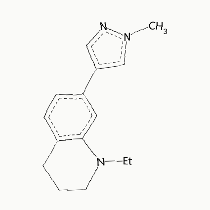 CCN1CCCc2ccc(-c3cnn(C)c3)cc21